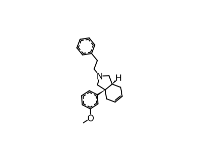 COc1cccc([C@]23CC=CC[C@H]2CN(CCc2ccccc2)C3)c1